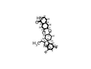 CCC(N)[C@]1(c2cc(F)cc(F)c2)CC[C@H](Oc2cc3cc[nH]c(=O)c3cc2Cl)CC1